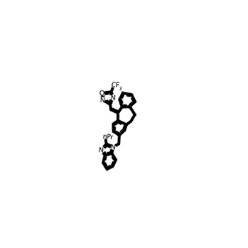 CCCc1nc2ccccc2n1Cc1ccc2c(c1)CCc1ccccc1/C2=C\c1noc(C(F)(F)F)n1